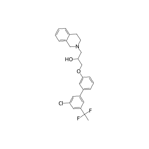 CC(F)(F)c1cc(Cl)cc(-c2cccc(OCC(O)CN3CCc4ccccc4C3)c2)c1